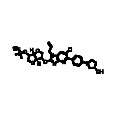 C=CCn1c(O[C@@H]2CO[C@H]3[C@@H]2OC[C@H]3O[Si](C)(C)C(C)(C)C)nc2nc(-c3ccc(N4CC[C@@H](O)C4)cc3)c(Cl)cc21